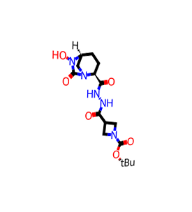 CC(C)(C)OC(=O)N1CC(C(=O)NNC(=O)[C@@H]2CC[C@H]3CN2C(=O)N3O)C1